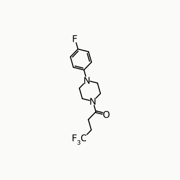 O=C(CCC(F)(F)F)N1CCN(c2ccc(F)cc2)CC1